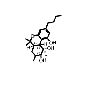 CCCCc1cc(O)c2c(c1)OC(C)(C)[C@@H]1CC(C)[C@](C)(O)[C@@H](O)[C@@H]21